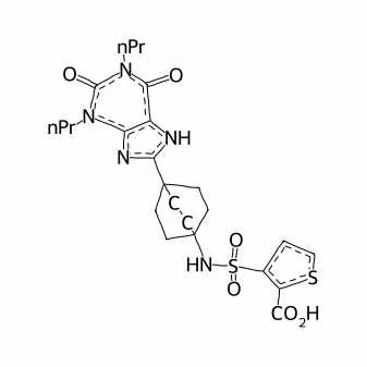 CCCn1c(=O)c2[nH]c(C34CCC(NS(=O)(=O)c5ccsc5C(=O)O)(CC3)CC4)nc2n(CCC)c1=O